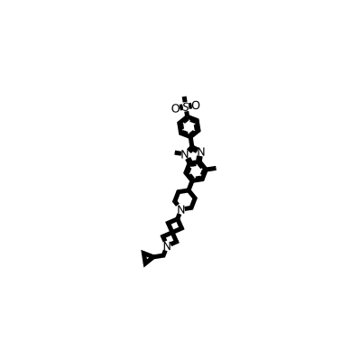 Cc1cc(C2CCN(C3CC4(C3)CN(CC3CC3)C4)CC2)cc2c1nc(-c1ccc(S(C)(=O)=O)cc1)n2C